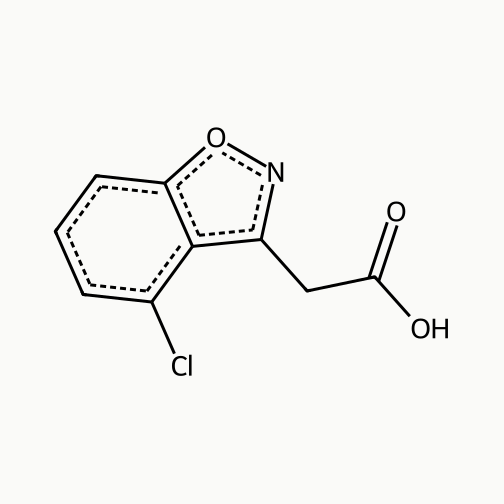 O=C(O)Cc1noc2cccc(Cl)c12